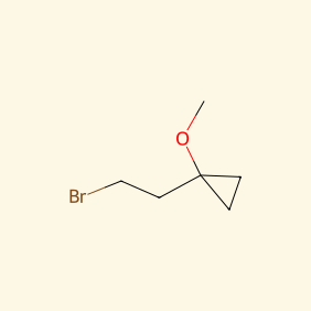 COC1(CCBr)CC1